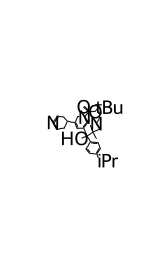 CC(C)c1ccc(C(O)(C2=CN(C(=O)OC(C)(C)C)CC(C3CC=NCC3)=C2)C2(C)CN(C)C2)cc1